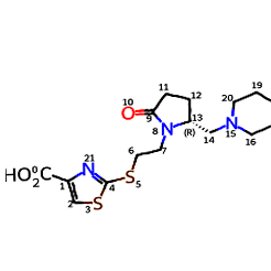 O=C(O)c1csc(SCCN2C(=O)CC[C@@H]2CN2CCCCC2)n1